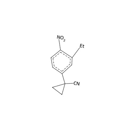 CCc1cc(C2(C#N)CC2)ccc1[N+](=O)[O-]